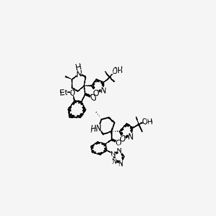 CCOc1ccccc1C(=O)[C@]1(c2cc(C(C)(C)O)no2)CC[C@@H](C)NC1.C[C@@H]1CC[C@](C(=O)c2ccccc2-n2ncnn2)(c2cc(C(C)(C)O)no2)CN1